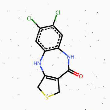 O=C1Nc2cc(Cl)c(Cl)cc2NC2=C1CSC2